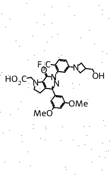 COc1cc(OC)cc(-c2nn(-c3cc(N4CC(CO)C4)ccc3C(F)(F)F)c(=O)c3c2CCN3CC(=O)O)c1